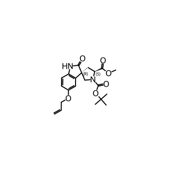 C=CCOc1ccc2c(c1)[C@@]1(C[C@@H](C(=O)OC)N(C(=O)OC(C)(C)C)C1)C(=O)N2